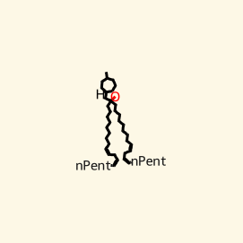 CCCCC/C=C\C/C=C\CCCCCCCCC1(CCCCCCCC/C=C\C/C=C\CCCCC)C[C@@H]2CCC(C)CCC2O1